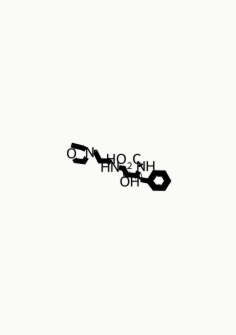 O=C(O)N[C@@H](Cc1ccccc1)[C@H](O)CNCCCN1CCOCC1